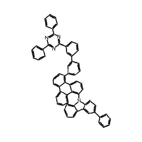 c1ccc(-c2ccc3c(c2)c2ccccc2n3-c2cccc3c4c(-c5cccc(-c6cccc(-c7nc(-c8ccccc8)nc(-c8ccccc8)n7)c6)c5)cccc4c4ccccc4c23)cc1